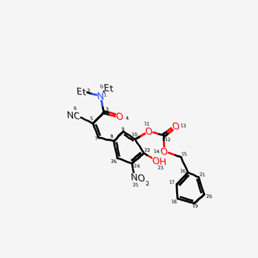 CCN(CC)C(=O)C(C#N)=Cc1cc(OC(=O)OCc2ccccc2)c(O)c([N+](=O)[O-])c1